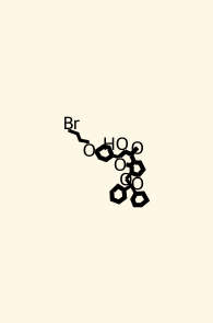 O=c1c(O)c(-c2ccc(OCCCCBr)cc2)oc2c3c(ccc12)OC(c1ccccc1)(c1ccccc1)O3